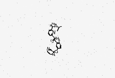 CC(C)n1cnnc1-c1cccc(NC(=O)c2cc(Oc3cnccn3)ccc2F)n1